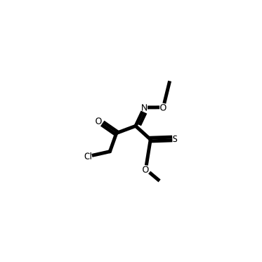 CON=C(C(=O)CCl)C(=S)OC